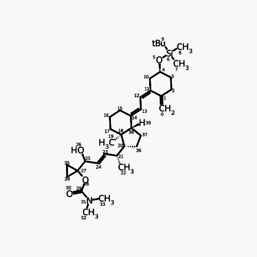 C=C1CC[C@H](O[Si](C)(C)C(C)(C)C)C/C1=C/C=C1\CCC[C@]2(C)[C@@H]([C@H](C)/C=C/C(O)C3(OC(=O)N(C)C)CC3)CC[C@@H]12